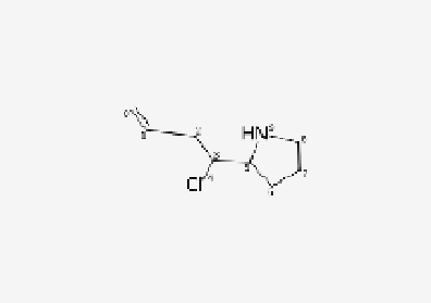 C=CCC(Cl)C1CCCN1